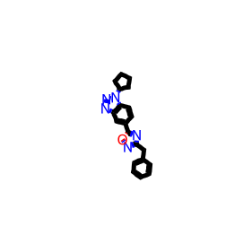 c1ccc(Cc2noc(-c3ccc4c(c3)nnn4C3CCCC3)n2)cc1